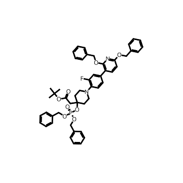 CC(C)(C)OC(=O)CC1(OP(=O)(OCc2ccccc2)OCc2ccccc2)CCN(c2ccc(-c3ccc(OCc4ccccc4)nc3OCc3ccccc3)cc2F)CC1